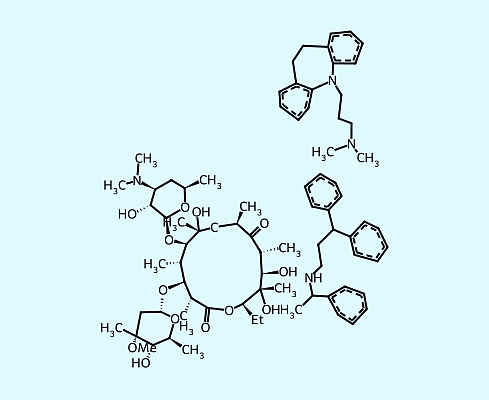 CC(NCCC(c1ccccc1)c1ccccc1)c1ccccc1.CC[C@H]1OC(=O)[C@H](C)[C@@H](O[C@H]2C[C@@](C)(OC)[C@@H](O)[C@H](C)O2)[C@H](C)[C@@H](O[C@@H]2O[C@H](C)C[C@H](N(C)C)[C@H]2O)[C@](C)(O)C[C@@H](C)C(=O)[C@H](C)[C@@H](O)[C@]1(C)O.CN(C)CCCN1c2ccccc2CCc2ccccc21